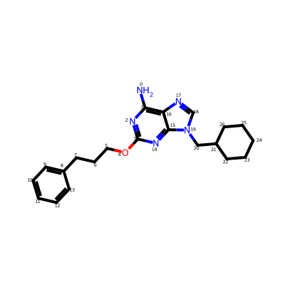 Nc1nc(OCCCc2ccccc2)nc2c1ncn2CC1CCCCC1